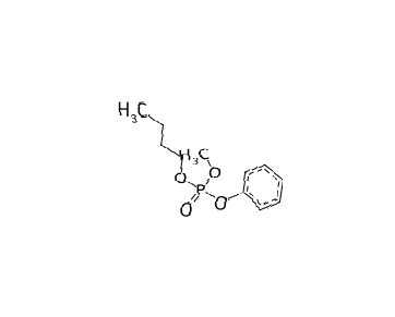 CCCCOP(=O)(OC)Oc1ccccc1